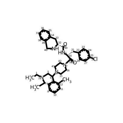 CCN(CC)CC(c1ccccc1C)N1CCN(C(=O)[C@@H](Cc2ccc(Cl)cc2)NC(=O)[C@H]2Cc3ccccc3CN2)CC1